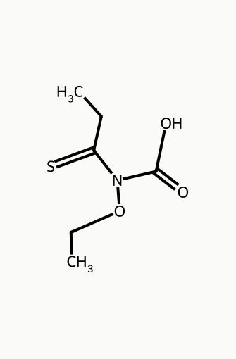 CCON(C(=O)O)C(=S)CC